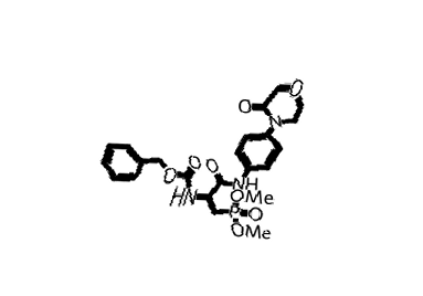 COP(=O)(CC(NC(=O)OCc1ccccc1)C(=O)Nc1ccc(N2CCOCC2=O)cc1)OC